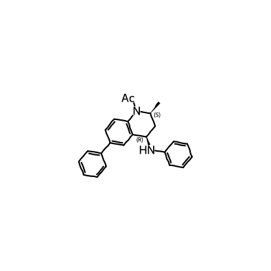 CC(=O)N1c2ccc(-c3ccccc3)cc2[C@H](Nc2ccccc2)C[C@@H]1C